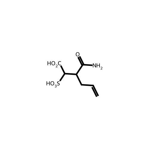 C=CCC(C(N)=O)C(C(=O)O)S(=O)(=O)O